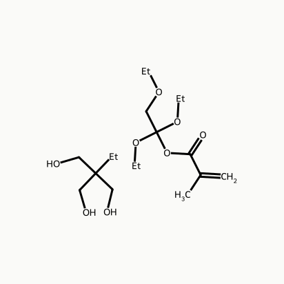 C=C(C)C(=O)OC(COCC)(OCC)OCC.CCC(CO)(CO)CO